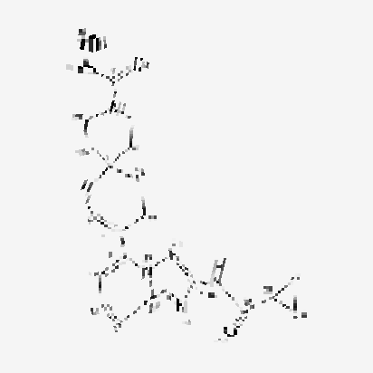 CC(C)(C)OC(=O)N1CCC2(CC=C(c3cccc4nc(NC(=O)C5CC5)nn34)CC2)CC1